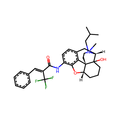 CC(C)C[N+]1(C)CC[C@]23c4c5ccc(NC(=O)C(=Cc6ccccc6)C(F)(F)F)c4O[C@H]2CCCC3(O)[C@H]1C5